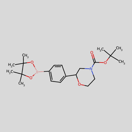 CC(C)(C)OC(=O)N1CCOC(c2ccc(B3OC(C)(C)C(C)(C)O3)cc2)C1